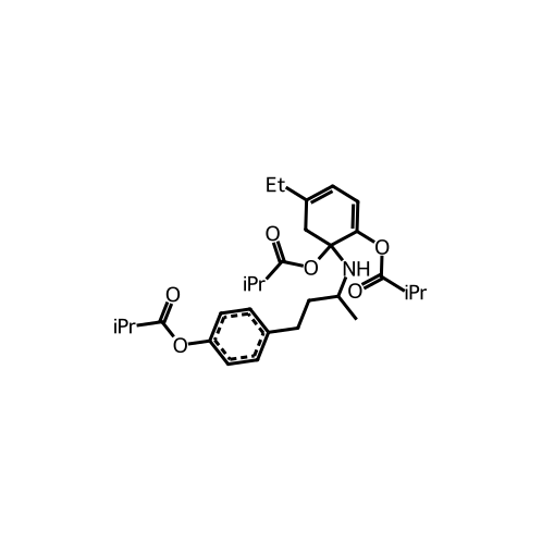 CCC1=CC=C(OC(=O)C(C)C)C(NC(C)CCc2ccc(OC(=O)C(C)C)cc2)(OC(=O)C(C)C)C1